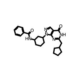 O=C(NC1CCCC(n2ncc3c(=O)[nH]c(CC4CCCC4)nc32)C1)c1ccccc1